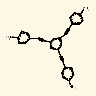 Nc1ccc(C#Cc2cc(C#Cc3ccc(N)cc3)cc(C#Cc3ccc(N)cc3)c2)cc1